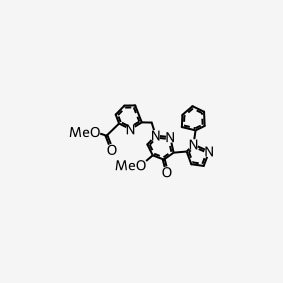 COC(=O)c1cccc(Cn2cc(OC)c(=O)c(-c3ccnn3-c3ccccc3)n2)n1